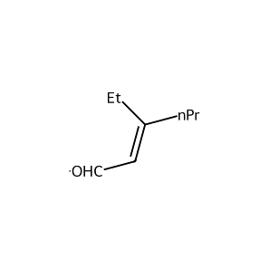 CCCC(=C[C]=O)CC